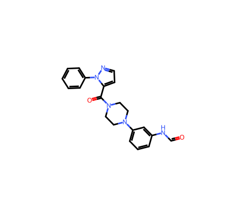 O=CNc1cccc(N2CCN(C(=O)c3ccnn3-c3ccccc3)CC2)c1